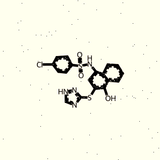 O=S(=O)(Nc1cc(Sc2nc[nH]n2)c(O)c2ccccc12)c1ccc(Cl)cc1